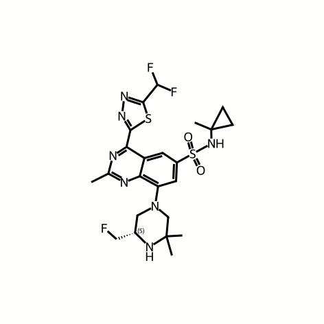 Cc1nc(-c2nnc(C(F)F)s2)c2cc(S(=O)(=O)NC3(C)CC3)cc(N3C[C@@H](CF)NC(C)(C)C3)c2n1